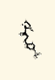 Cn1ccnc1C(=O)C=Cc1ccc([N+](=O)[O-])cc1